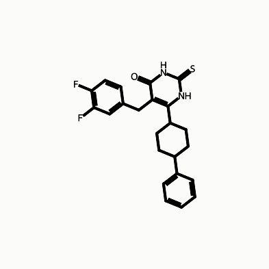 O=c1[nH]c(=S)[nH]c(C2CCC(c3ccccc3)CC2)c1Cc1ccc(F)c(F)c1